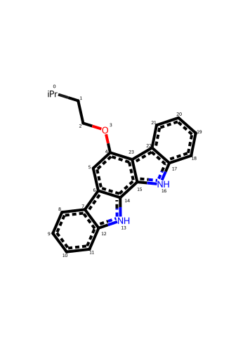 CC(C)CCOc1cc2c3ccccc3[nH]c2c2[nH]c3ccccc3c12